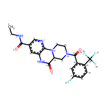 CCNC(=O)c1cnc2c(c1)NC(=O)C1CN(C(=O)c3cc(F)ccc3C(F)(F)F)CCN21